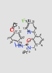 CC(C)N(Cc1cccc(-c2ccc(F)cn2)c1)C(=O)Nc1ccc(OC(F)(F)F)cc1